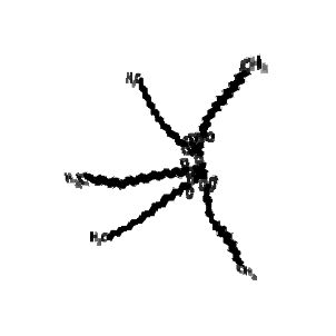 CCCCCCCCCCCCCCCCCC(=O)OCC(CO)(COCC(COC(=O)CCCCCCCCCCCCCCCCC)(COC(=O)CCCCCCCCCCCCCCCCC)COC(=O)CCCCCCCCCCCCCCCCC)COC(=O)CCCCCCCCCCCCCCCCC